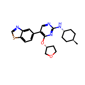 C[C@H]1CC[C@H](Nc2ncc(-c3ccc4scnc4c3)c(O[C@@H]3CCOC3)n2)CC1